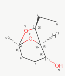 CC[C@@H]1O[C@]2(C)CC[C@@H](O)[C@H]1O2